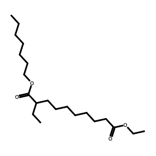 CCCCCCCOC(=O)C(CC)CCCCCCCC(=O)OCC